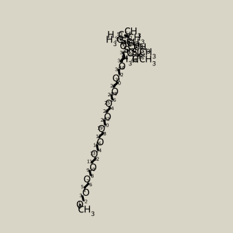 COCCOCCOCCOCCOCCOCCOCCOCCOCCOCCOCCOCCC[Si](C)(O[SiH](C)C(C)(C)C)O[Si](C)(C)C(C)(C)C